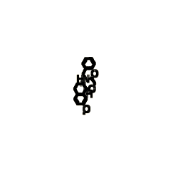 COc1ccc2c(c1)[C@H]1OCC(=O)N(Cc3ccccc3)[C@@H]1CC2